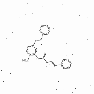 O=C(CC=Cc1ccccc1)Nc1cc(CCc2ccccc2)ccc1C(=O)O